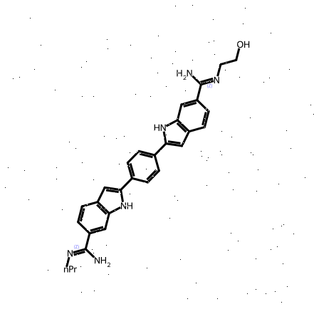 CCC/N=C(\N)c1ccc2cc(-c3ccc(-c4cc5ccc(/C(N)=N/CCO)cc5[nH]4)cc3)[nH]c2c1